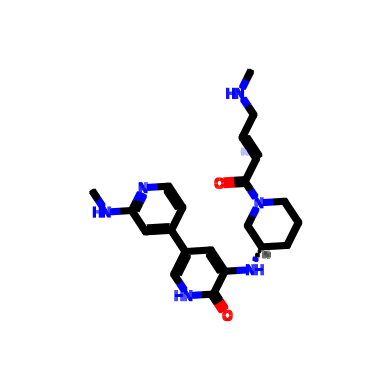 CNC/C=C/C(=O)N1CCC[C@H](Nc2cc(-c3ccnc(NC)c3)c[nH]c2=O)C1